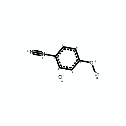 CCOc1ccc([N+]#N)cc1.[Cl-]